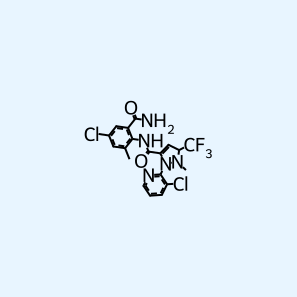 Cc1cc(Cl)cc(C(N)=O)c1NC(=O)C1=CC(C(F)(F)F)N(C)N1c1ncccc1Cl